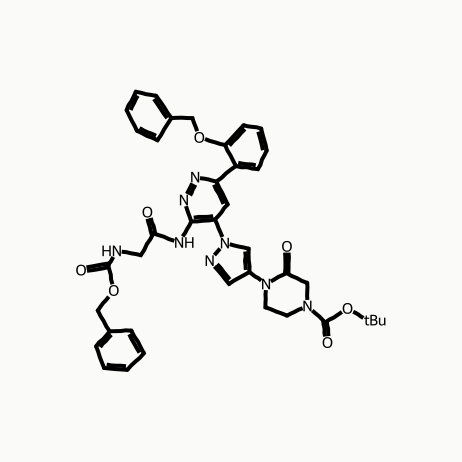 CC(C)(C)OC(=O)N1CCN(c2cnn(-c3cc(-c4ccccc4OCc4ccccc4)nnc3NC(=O)CNC(=O)OCc3ccccc3)c2)C(=O)C1